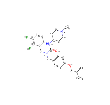 CC(C)COc1ccc(CN(Cc2cccc(F)c2F)C(=O)NC2CCN(C)CC2)cc1